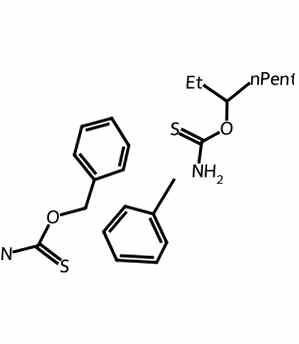 CCCCCC(CC)OC(N)=S.Cc1ccccc1.NC(=S)OCc1ccccc1